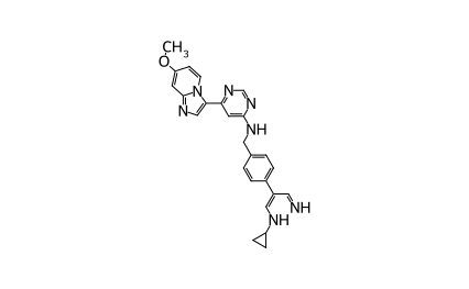 COc1ccn2c(-c3cc(NCc4ccc(/C(C=N)=C/NC5CC5)cc4)ncn3)cnc2c1